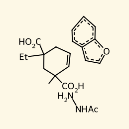 CC(=O)NN.CCC1(C(=O)O)CC=CC(C)(C(=O)O)C1.c1ccc2occc2c1